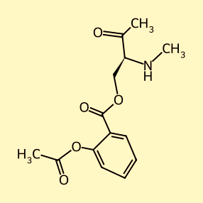 CN[C@@H](COC(=O)c1ccccc1OC(C)=O)C(C)=O